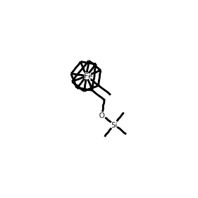 C[C]12[CH]3[CH]4[CH]5[CH]1[Fe]45321678[CH]2[CH]1[CH]6[C]7(CO[Si](C)(C)C)[CH]28